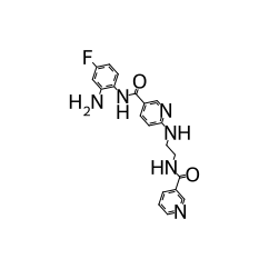 Nc1cc(F)ccc1NC(=O)c1ccc(NCCNC(=O)c2cccnc2)nc1